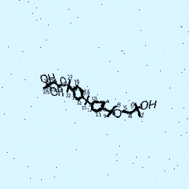 CC(C)(O)CCOC(C)(C)c1ccc(C(C)(C)c2ccc(C(C)(C)OCCC(C)(O)O)cc2)cc1